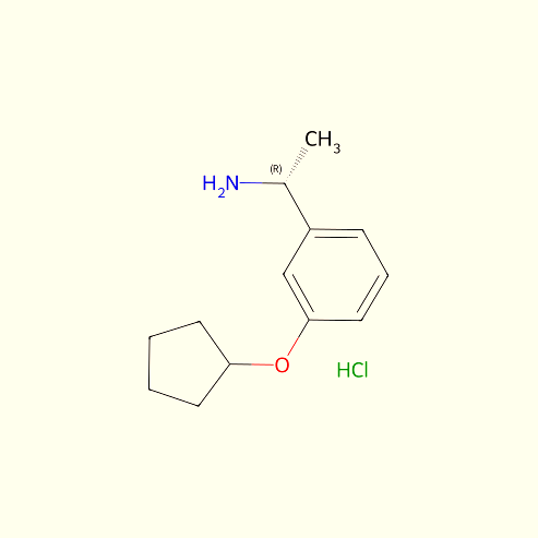 C[C@@H](N)c1cccc(OC2CCCC2)c1.Cl